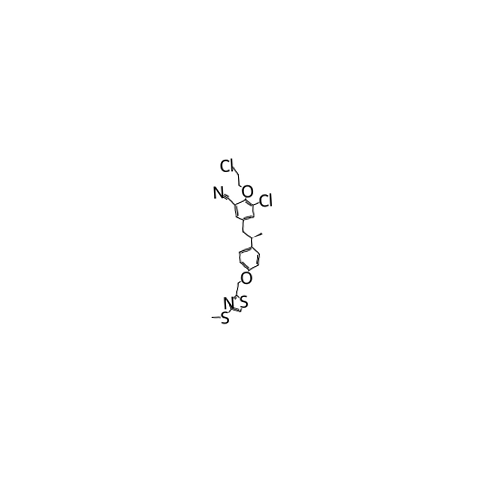 CSc1csc(COc2ccc([C@H](C)Cc3cc(Cl)c(OCCCl)c(C#N)c3)cc2)n1